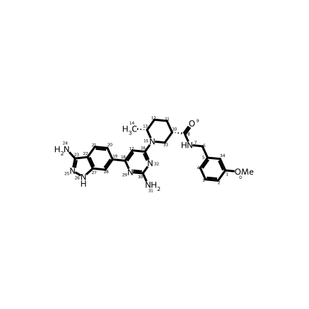 COc1cccc(CNC(=O)[C@H]2CC[C@@H](C)N(c3cc(-c4ccc5c(N)n[nH]c5c4)nc(N)n3)C2)c1